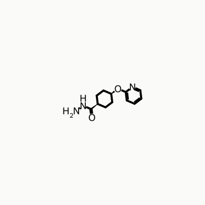 NNC(=O)[C@H]1CC[C@@H](Oc2ccccn2)CC1